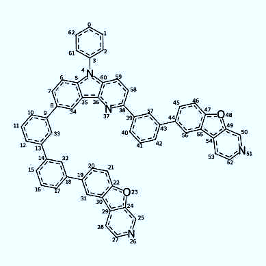 c1ccc(-n2c3ccc(-c4cccc(-c5cccc(-c6ccc7oc8cnccc8c7c6)c5)c4)cc3c3nc(-c4cccc(-c5ccc6oc7cnccc7c6c5)c4)ccc32)cc1